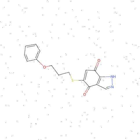 O=C1C(SCCCOc2ccccc2)=CC(=O)c2[nH]ncc21